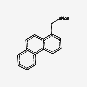 [CH2]CCCCCCCCCc1cccc2c1ccc1ccccc12